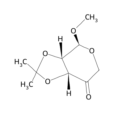 CO[C@H]1OCC(=O)[C@@H]2OC(C)(C)O[C@H]12